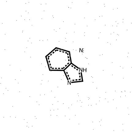 [N].c1ccc2[nH]cnc2c1